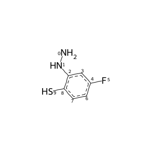 NNc1cc(F)ccc1S